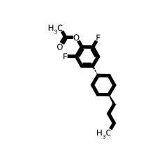 CCCC[C@H]1CC[C@H](c2cc(F)c(OC(C)=O)c(F)c2)CC1